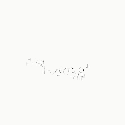 COc1cc(C=C2Oc3cc(OCCCNC(=O)OC(C)(C)C)ccc3C2=O)ccc1Oc1ccc(C#N)cc1C(F)(F)F